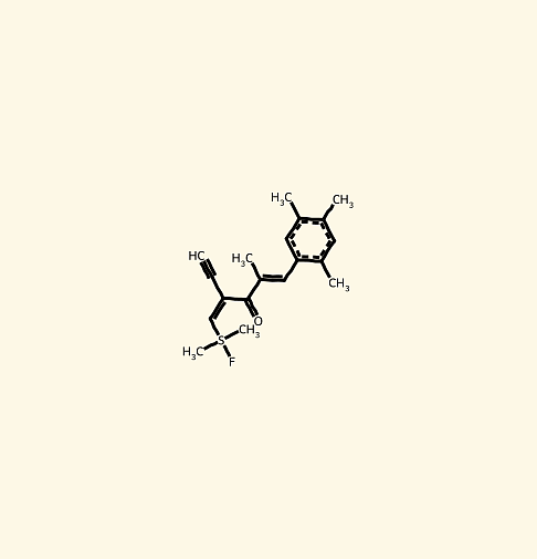 C#C/C(=C/S(C)(C)F)C(=O)/C(C)=C/c1cc(C)c(C)cc1C